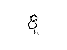 CN1CCc2ccnn2C1